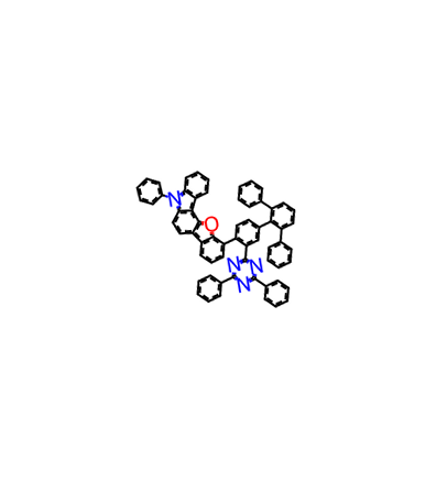 c1ccc(-c2nc(-c3ccccc3)nc(-c3cc(-c4c(-c5ccccc5)cccc4-c4ccccc4)ccc3-c3cccc4c3oc3c4ccc4c3c3ccccc3n4-c3ccccc3)n2)cc1